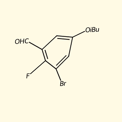 CC(C)COc1cc(Br)c(F)c(C=O)c1